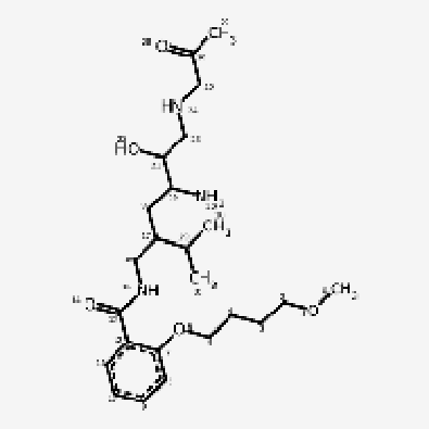 COCCCCOc1ccccc1C(=O)NCC(CC(N)C(O)CNCC(C)=O)C(C)C